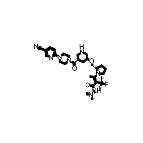 C=[N+](C)NC(=O)/C(=C(\C)N1CCC[C@H]1COC1CNC[C@H](C(=O)N2CCN(c3ccc(C#N)cn3)CC2)C1)C(F)(F)F